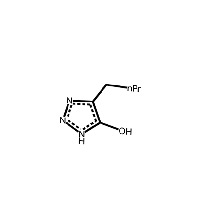 CCCCc1nn[nH]c1O